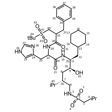 CC(C)CS(=O)(=O)NC[C@@H](C[C@H](O)[C@H](CC1CCCCC1)NC(=O)C(Cc1c[nH]cn1)NC(=O)C(Cc1ccccc1)CS(=O)(=O)C(C)(C)C)C(C)C